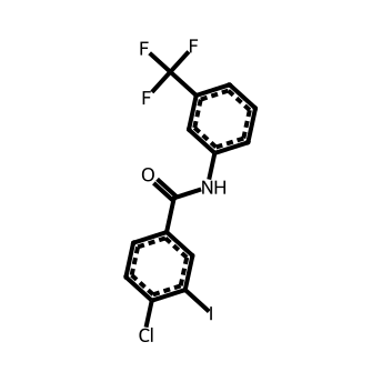 O=C(Nc1cccc(C(F)(F)F)c1)c1ccc(Cl)c(I)c1